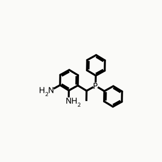 CC(c1cccc(N)c1N)P(c1ccccc1)c1ccccc1